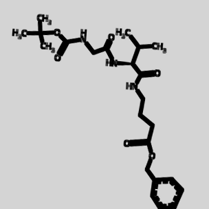 CC(C)[C@H](NC(=O)CNC(=O)OC(C)(C)C)C(=O)NCCCC(=O)OCc1ccccc1